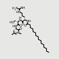 CCCCCCCCCCCCCCCC(=O)N[C@@H](CCCNC(=N)N)C(=O)N[C@@H](CO)C(=O)N[C@@H](CC(C)C)C(=O)NC